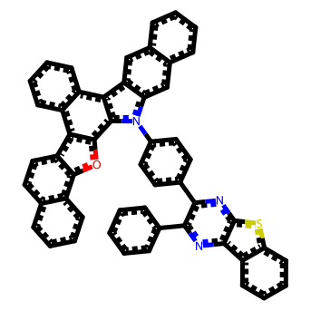 c1ccc(-c2nc3c(nc2-c2ccc(-n4c5cc6ccccc6cc5c5c6ccccc6c6c7ccc8ccccc8c7oc6c54)cc2)sc2ccccc23)cc1